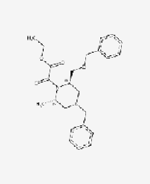 CCOC(=O)C(=O)N1[C@@H](COCc2ccccc2)CN(Cc2ccccc2)C[C@@H]1C